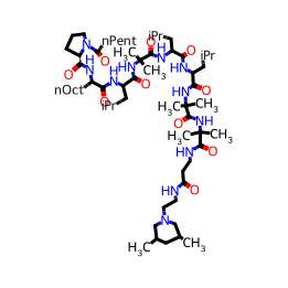 CCCCCCCCC(NC(=O)[C@@H]1CCCN1C(=O)CCCCC)C(=O)NC(CC(C)C)C(=O)NC(C)(C)C(=O)NC(CC(C)C)C(=O)NC(CC(C)C)C(=O)NC(C)(C)C(=O)NC(C)(C)C(=O)NCCC(=O)NCCN1CC(C)CC(C)C1